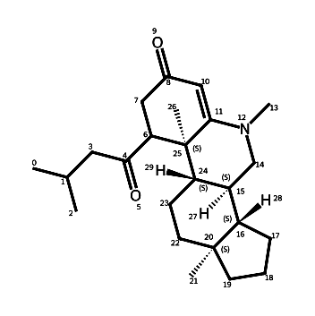 CC(C)CC(=O)C1CC(=O)C=C2N(C)C[C@H]3[C@@H]4CCC[C@@]4(C)CC[C@@H]3[C@]21C